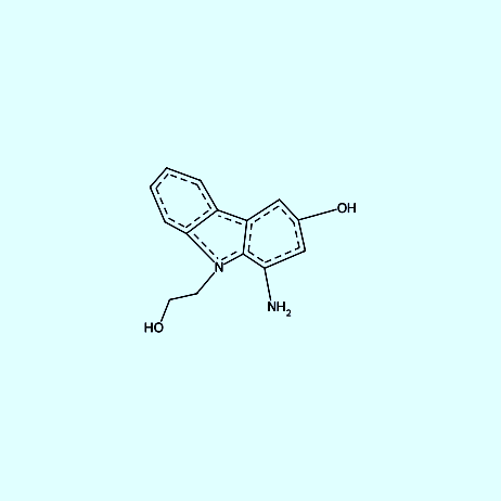 Nc1cc(O)cc2c3ccccc3n(CCO)c12